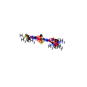 CCC1(C(F)F)CC1C1=C(CN2CCN(c3ccc(C(=O)NS(=O)(=O)c4ccc(NC(CCN5CC6(C5)CN(C(=O)CCCCCC(=O)NC(C(=O)N5CCCC5C(=O)NC(C)C5C=CC(c7scnc7C)=CC5)C(C)(C)C)C6)CSc5ccccc5)c(S(=O)(=O)C(F)(F)F)c4)cc3)CC2)CCC(C)(C)C1